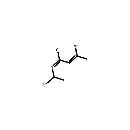 CC(=O)/C(C)=C\C(Cl)=N/C(C)C(C)C